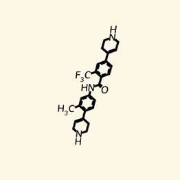 Cc1cc(NC(=O)c2ccc(C3=CCNCC3)cc2C(F)(F)F)ccc1C1=CCNCC1